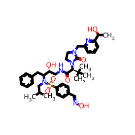 CC(C)CN(C(Cc1ccccc1)[C@H](O)CNC(=O)[C@@H](N1CCN(Cc2cccc(C(C)O)n2)C1=O)C(C)(C)C)S(=O)(=O)c1ccc(C=NO)cc1